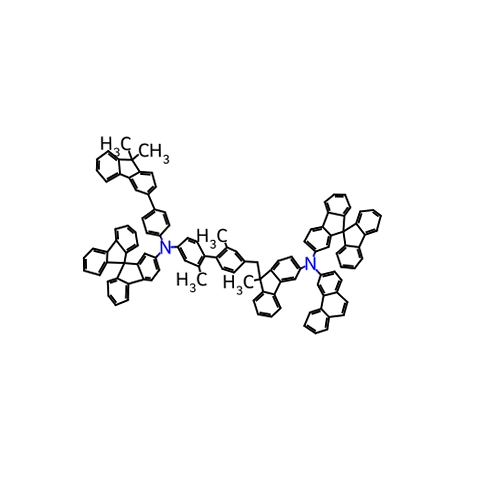 Cc1cc(CC2(C)c3ccccc3-c3cc(N(c4ccc5c(c4)C4(c6ccccc6-c6ccccc64)c4ccccc4-5)c4ccc5ccc6ccccc6c5c4)ccc32)ccc1-c1ccc(N(c2ccc(-c3ccc4c(c3)-c3ccccc3C4(C)C)cc2)c2ccc3c(c2)C2(c4ccccc4-c4ccccc42)c2ccccc2-3)cc1C